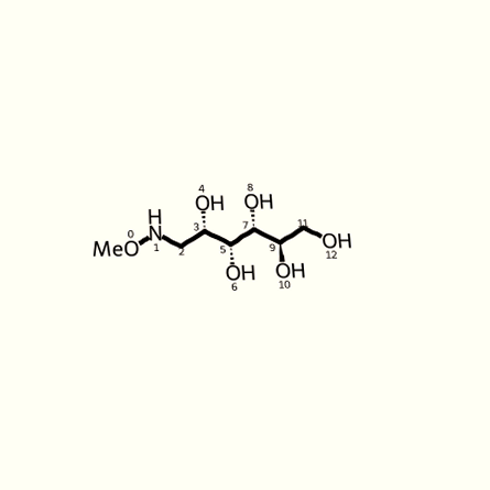 CONC[C@H](O)[C@@H](O)[C@H](O)[C@H](O)CO